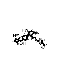 N#C[C@@H]1C[C@@H](O)C(c2ccc(C(O)C3(CO)CCC3)cc2)C1CCSc1ncc(C=O)s1